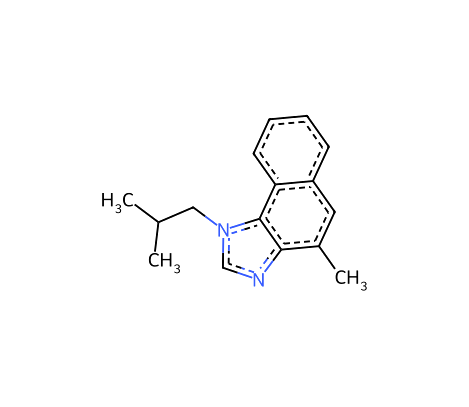 Cc1cc2ccccc2c2c1ncn2CC(C)C